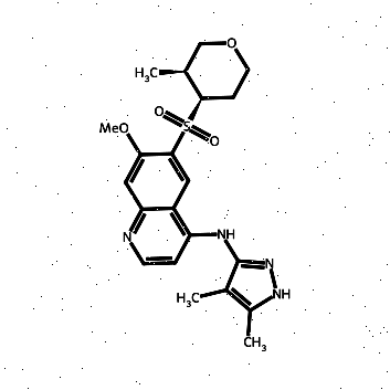 COc1cc2nccc(Nc3n[nH]c(C)c3C)c2cc1S(=O)(=O)[C@@H]1CCOC[C@@H]1C